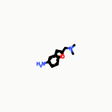 CN(C)Cc1cc2cc(N)ccc2o1